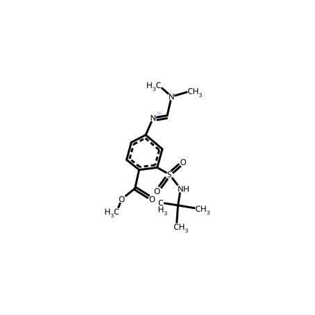 COC(=O)c1ccc(/N=C/N(C)C)cc1S(=O)(=O)NC(C)(C)C